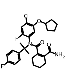 CC(C)(c1ccc(F)cc1)N(C(=O)C1=C(C(N)=O)CCCC1)c1cc(OC2CCCC2)c(Cl)cc1F